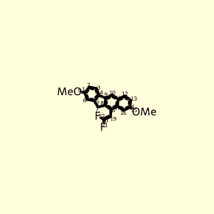 COc1ccc2c(c1)Cc1c-2cc2ccc(OC)cc2c1C=C(F)F